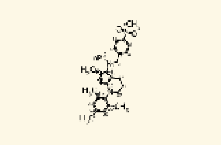 CCCN(Cc1ccc(S(C)(=O)=O)cc1)c1c2c(nn1C)N(c1c(C)cc(C)cc1C)CCC2